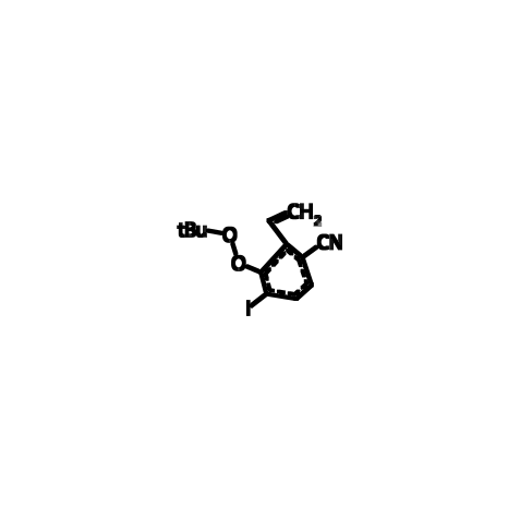 C=Cc1c(C#N)ccc(I)c1OOC(C)(C)C